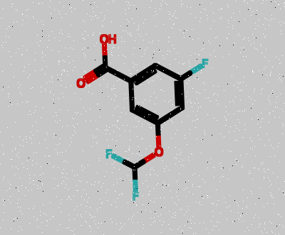 O=C(O)c1cc(F)cc(OC(F)F)c1